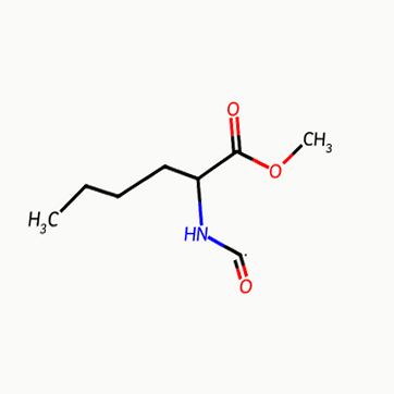 CCCCC(N[C]=O)C(=O)OC